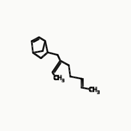 CC=CCCC(=CC)CC1CC2C=CC1C2